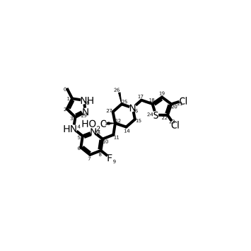 Cc1cc(Nc2ccc(F)c(C[C@@]3(C(=O)O)CCN(Cc4cc(Cl)c(Cl)s4)[C@H](C)C3)n2)n[nH]1